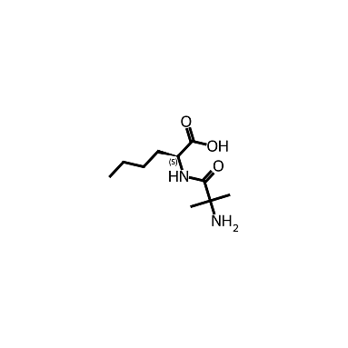 CCCC[C@H](NC(=O)C(C)(C)N)C(=O)O